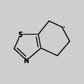 [CH]1CCc2ncsc2C1